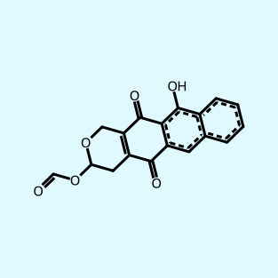 O=COC1CC2=C(CO1)C(=O)c1c(cc3ccccc3c1O)C2=O